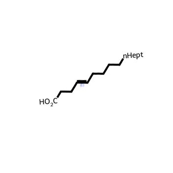 CCCCCCCCCCC/C=C/CCC(=O)O